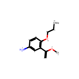 C=C(OCC)c1cc(N)ccc1OCCOC